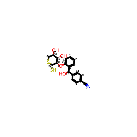 N#Cc1ccc(C(O)c2ccccc2O[C@@H]2[C@@H](O)[C@H](O)CS[C@H]2S)cc1